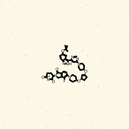 CC1(Oc2ccc3n[nH]c(-c4cc(N5CCC(O[C@@H]6CC[C@@H](OC7CCN(c8ccc9c(c8F)CN(C8CCC(=O)NC8=O)C9=O)CC7)C6)CC5)ncn4)c3c2)CC1